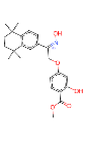 COC(=O)c1ccc(OC/C(=N/O)c2ccc3c(c2)C(C)(C)CCC3(C)C)cc1O